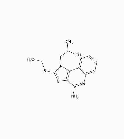 CCSc1nc2c(N)nc3ccccc3c2n1CC(C)C